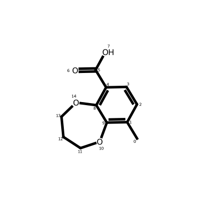 Cc1ccc(C(=O)O)c2c1OCCCO2